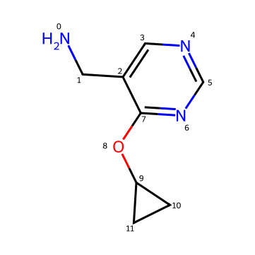 NCc1cncnc1OC1CC1